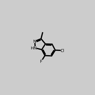 Cc1n[nH]c2c(F)cc(Cl)cc12